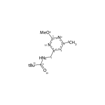 COc1nc(C)cc(CNC(=O)C(C)(C)C)n1